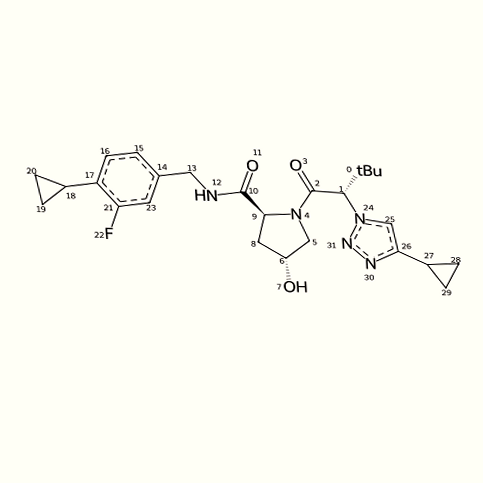 CC(C)(C)[C@@H](C(=O)N1C[C@H](O)C[C@H]1C(=O)NCc1ccc(C2CC2)c(F)c1)n1cc(C2CC2)nn1